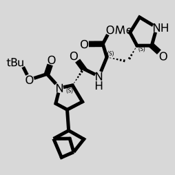 COC(=O)[C@H](C[C@@H]1CCNC1=O)NC(=O)[C@@H]1CC(C2CC3CC2C3)CN1C(=O)OC(C)(C)C